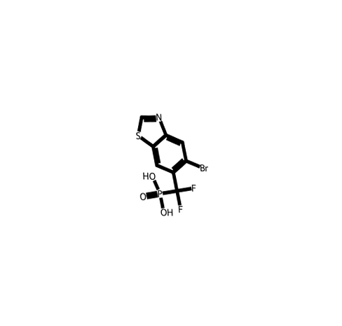 O=P(O)(O)C(F)(F)c1cc2scnc2cc1Br